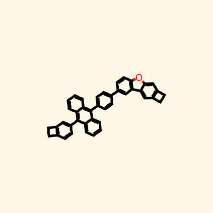 c1ccc2c(-c3ccc4c(c3)CC4)c3ccccc3c(-c3ccc(-c4ccc5oc6cc7c(cc6c5c4)CC7)cc3)c2c1